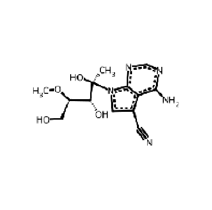 CO[C@H](CO)[C@@H](O)[C@@](C)(O)n1cc(C#N)c2c(N)ncnc21